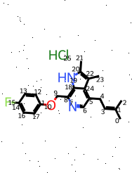 CC(C)=CCc1cnc(COc2ccc(F)cc2)c2[nH]c(C)c(C)c12.Cl